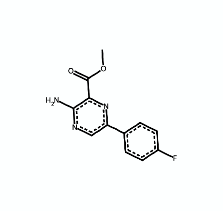 COC(=O)c1nc(-c2ccc(F)cc2)cnc1N